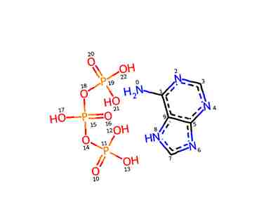 Nc1ncnc2nc[nH]c12.O=P(O)(O)OP(=O)(O)OP(=O)(O)O